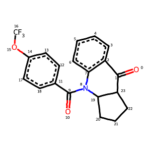 O=C1c2ccccc2N(C(=O)c2ccc(OC(F)(F)F)cc2)C2CCCC12